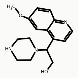 COc1ccc2nccc(C(CO)N3CCNCC3)c2c1